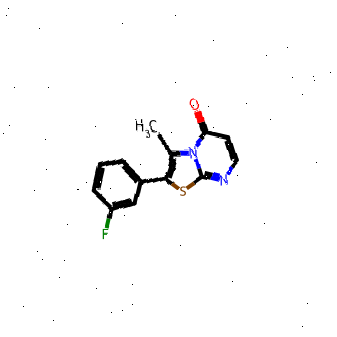 Cc1c(-c2cccc(F)c2)sc2nccc(=O)n12